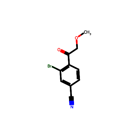 COCC(=O)c1ccc(C#N)cc1Br